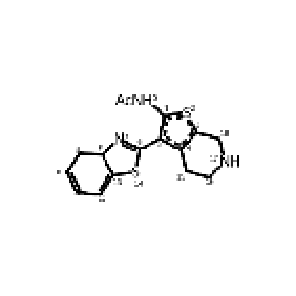 CC(=O)Nc1sc2c(c1C1=NC3CC=CC=C3S1)CCNC2